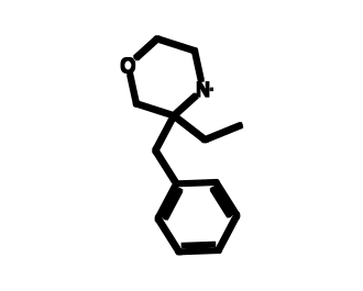 CCC1(Cc2ccccc2)COCC[N]1